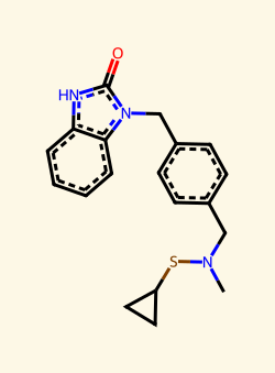 CN(Cc1ccc(Cn2c(=O)[nH]c3ccccc32)cc1)SC1CC1